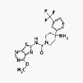 COc1ncnc2sc(NC(=O)N3CCC(N)(c4cccc(C(F)(F)F)c4)CC3)nc12